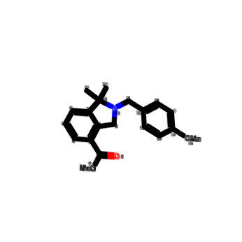 COC(=O)c1cccc2c1CN(Cc1ccc(OC)cc1)C2(C)C